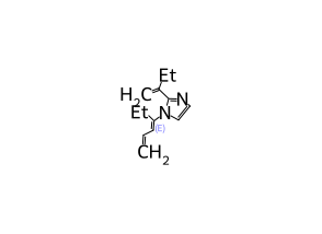 C=C/C=C(\CC)n1ccnc1C(=C)CC